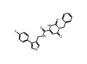 O=C(NCc1cscc1-c1ccc(F)cc1)c1cc(=O)n(Cc2ccccc2)c(=O)[nH]1